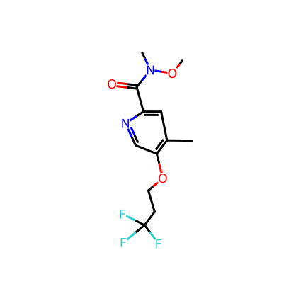 CON(C)C(=O)c1cc(C)c(OCCC(F)(F)F)cn1